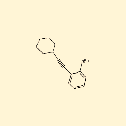 CCCCc1ccccc1C#CC1CCCCC1